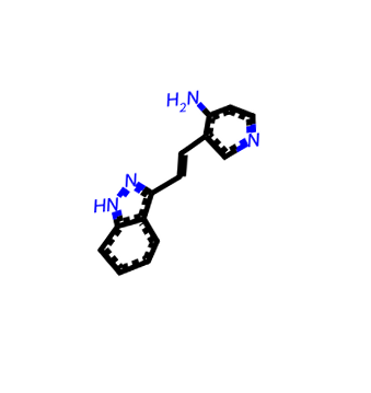 Nc1ccncc1C=Cc1n[nH]c2ccccc12